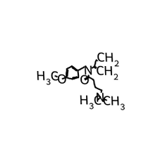 C=CC(=C)N(Cc1ccc(OC)cc1)C(=O)CCCN(C)C